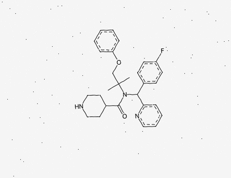 CC(C)(COc1ccccc1)N(C(=O)C1CCNCC1)C(c1ccc(F)cc1)c1ccccn1